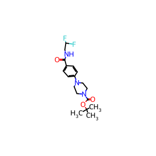 CC(C)(C)OC(=O)N1CCN(c2ccc(C(=O)NCC(F)F)cc2)CC1